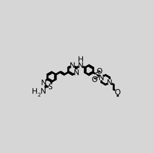 COCCN1CCN(S(=O)(=O)c2ccc(Nc3ncc(C=Cc4ccc5nc(N)sc5c4)cn3)cc2)CC1